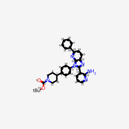 CC(C)(C)OC(=O)N1CCC(c2ccc(-n3c(-c4cccnc4N)nc4ccc(-c5ccccc5)nc43)cc2)CC1